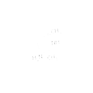 C[C@H]1C=CC[C@](C)(N)CN1